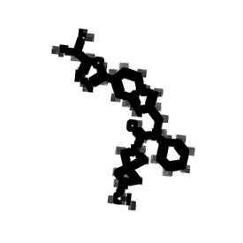 CN1CC2(C1)CN(C(=O)N(Cc1cn3ccc(-c4nnc(C(F)F)o4)cc3n1)c1ccccc1)C2